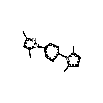 Cc1cc(C)n(-c2ccc(-n3c(C)ccc3C)cc2)n1